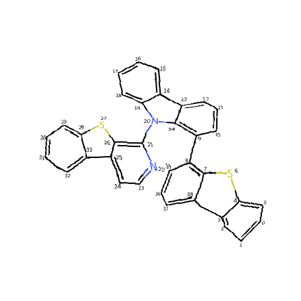 c1ccc2c(c1)sc1c(-c3cccc4c5ccccc5n(-c5nccc6c5sc5ccccc56)c34)cccc12